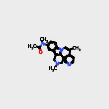 CC(=O)N(C)c1ccc2c(c1)c1c(n2/C=C(/C)c2ccncc2)CCN(C)C1